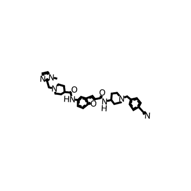 Cn1ccnc1CN1CCC(C(=O)Nc2ccc3oc(C(=O)NC4CCN(Cc5ccc(C#N)cc5)CC4)cc3c2)CC1